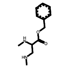 CNCC(NC)C(=O)OCc1ccccc1